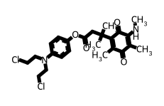 CNC1=C(C)C(=O)C(C)=C(C(C)(C)CC(=O)Oc2ccc(N(CCCl)CCCl)cc2)C1=O